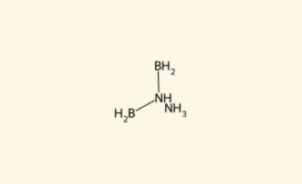 BNB.N